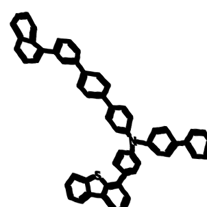 c1ccc(-c2ccc(N(c3ccc(-c4ccc(-c5cccc(-c6cccc7ccccc67)c5)cc4)cc3)c3ccc(-c4cccc5c4sc4ccccc45)cc3)cc2)cc1